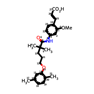 COc1cc(NC(=O)C(C)(C)CCCOc2cc(C)ccc2C)ccc1C=CC(=O)O